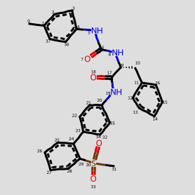 Cc1ccc(NC(=O)N[C@H](Cc2ccccc2)C(=O)Nc2ccc(-c3ccccc3S(C)(=O)=O)cc2)cc1